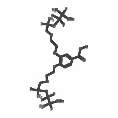 COC(C)(F)C(F)(F)OC(C)(F)COCCOc1cc(C(=O)OCl)ccc1OCCOCC(F)(OC(F)(F)C(F)(OC)C(F)(F)F)C(F)(F)F